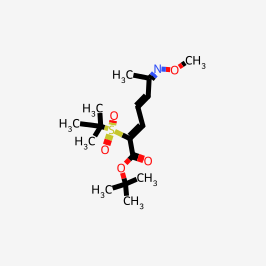 CON=C(C)C=CC=C(C(=O)OC(C)(C)C)S(=O)(=O)C(C)(C)C